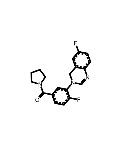 O=C(c1ccc(F)c(N2C=Nc3ccc(F)cc3C2)c1)N1CCCC1